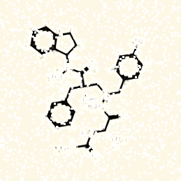 COC(=O)N[C@H](C(=O)NN(Cc1ccc(Br)cc1)C[C@@](O)(Cc1ccccc1)C(=O)N(O)C1CCc2ccccc21)C(C)(C)C